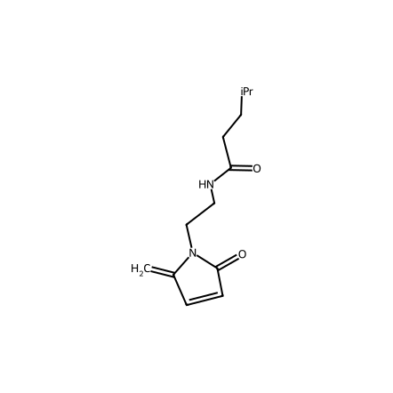 C=C1C=CC(=O)N1CCNC(=O)CCC(C)C